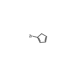 [Zr][C]1=CC=CC1